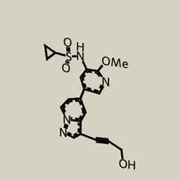 COc1ncc(-c2ccn3ncc(C#CCO)c3c2)cc1NS(=O)(=O)C1CC1